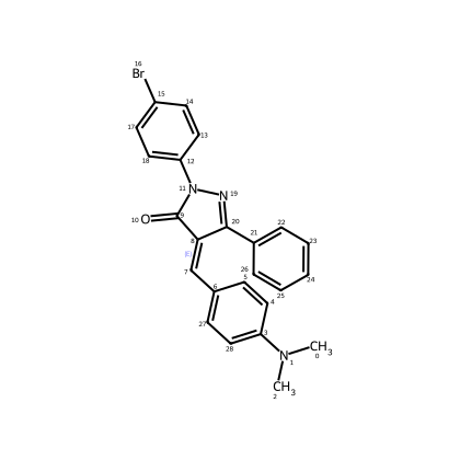 CN(C)c1ccc(/C=C2/C(=O)N(c3ccc(Br)cc3)N=C2c2ccccc2)cc1